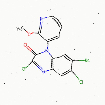 COc1ncccc1-n1c(=O)c(Cl)nc2cc(Cl)c(Br)cc21